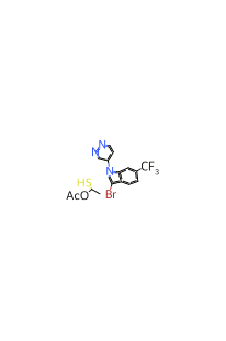 CC(=O)OC(C)S.FC(F)(F)c1ccc2c(Br)cn(-c3ccnnc3)c2c1